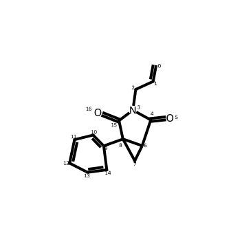 C=CCN1C(=O)C2CC2(c2ccccc2)C1=O